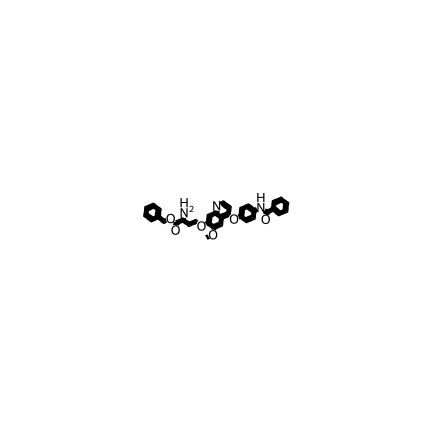 COc1cc2c(Oc3ccc(NC(=O)c4ccccc4)cc3)ccnc2cc1OCCC(N)C(=O)OCc1ccccc1